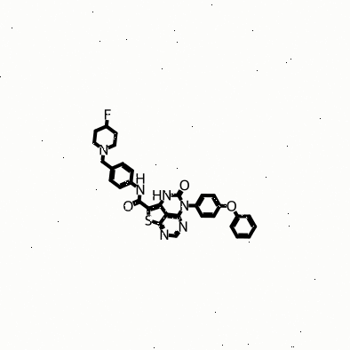 O=C(Nc1ccc(CN2CCC(F)CC2)cc1)c1sc2ncnc3c2c1NC(=O)N3c1ccc(Oc2ccccc2)cc1